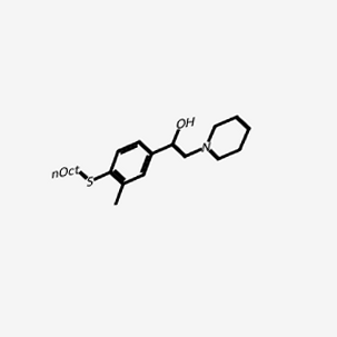 CCCCCCCCSc1ccc(C(O)CN2CCCCC2)cc1C